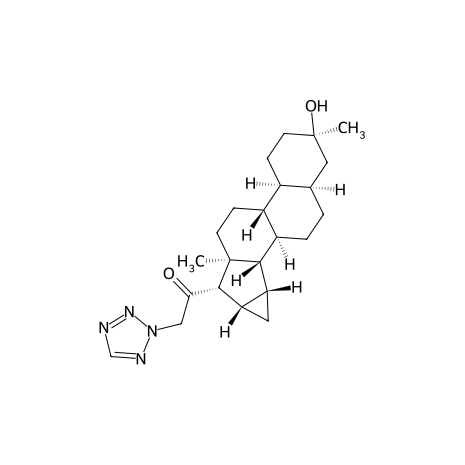 C[C@@]1(O)CC[C@H]2[C@H](CC[C@@H]3[C@@H]2CC[C@@]2(C)[C@H]3[C@@H]3C[C@@H]3[C@@H]2C(=O)Cn2ncnn2)C1